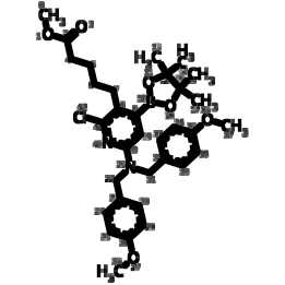 COC(=O)CCCCc1c(B2OC(C)(C)C(C)(C)O2)cc(N(Cc2ccc(OC)cc2)Cc2ccc(OC)cc2)nc1Cl